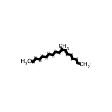 [CH2]CCCCCCC(C)CCCCCCCCCC